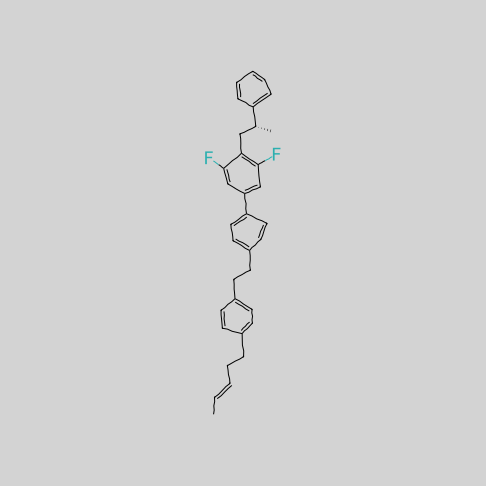 C/C=C/CCc1ccc(CCc2ccc(-c3cc(F)c(C[C@@H](C)c4ccccc4)c(F)c3)cc2)cc1